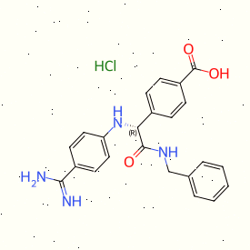 Cl.N=C(N)c1ccc(N[C@@H](C(=O)NCc2ccccc2)c2ccc(C(=O)O)cc2)cc1